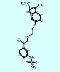 CCOC(=O)c1[nH]c2cc(OCCNC[C@H](O)c3cccc(NS(C)(=O)=O)c3)ccc2c1C